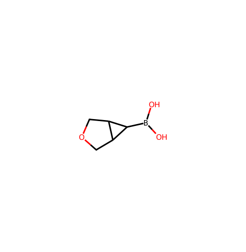 OB(O)C1C2COCC21